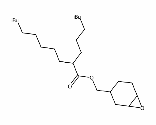 CCC(C)CCCCCC(CCCC(C)CC)C(=O)OCC1CCC2OC2C1